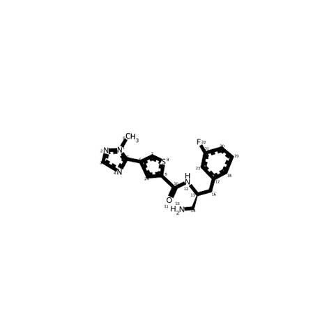 Cn1ncnc1-c1csc(C(=O)N[C@H](CN)Cc2cccc(F)c2)c1